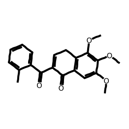 COc1cc2c(c(OC)c1OC)CC=C(C(=O)c1ccccc1C)C2=O